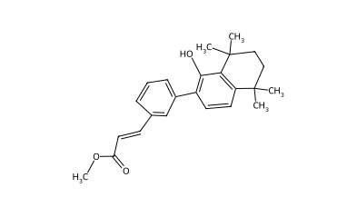 COC(=O)/C=C/c1cccc(-c2ccc3c(c2O)C(C)(C)CCC3(C)C)c1